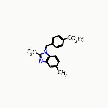 CCOC(=O)c1ccc(Cn2c(C(F)(F)F)nc3cc(C)ccc32)cc1